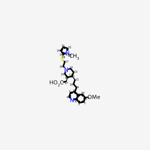 COc1ccc2nccc(CCC[C@@H]3CCN(CCSc4cccn4C)C[C@@H]3CC(=O)O)c2c1